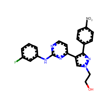 O=[N+]([O-])c1ccc(-c2nn(CCO)cc2-c2ccnc(Nc3cccc(F)c3)n2)cc1